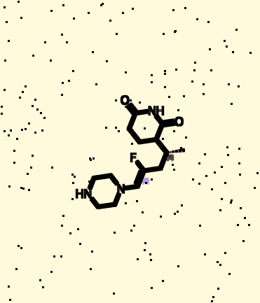 C[C@H](C/C(F)=C/N1CCNCC1)C1CCC(=O)NC1=O